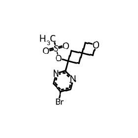 CS(=O)(=O)OC1(c2ncc(Br)cn2)CC2(COC2)C1